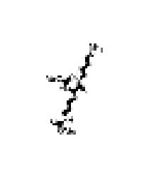 COC(=O)NCCCC[C@H](NC(=O)OC)C(=O)NCCCCON